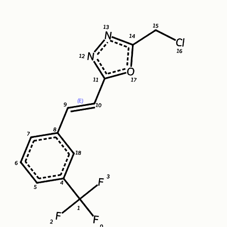 FC(F)(F)c1cccc(/C=C/c2nnc(CCl)o2)c1